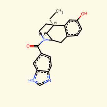 CC[C@]12CCN(C(=O)c3ccc4nc[nH]c4c3)C(Cc3ccc(O)cc31)C2C